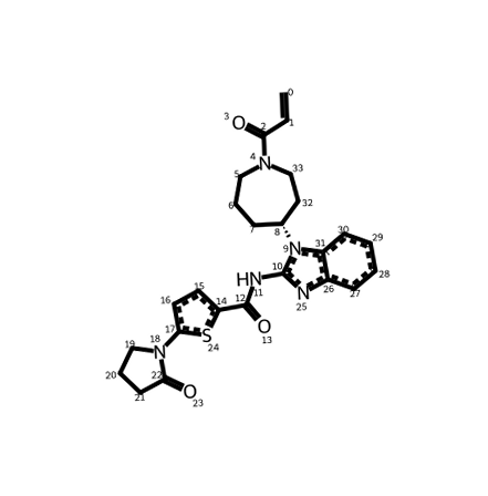 C=CC(=O)N1CCC[C@@H](n2c(NC(=O)c3ccc(N4CCCC4=O)s3)nc3ccccc32)CC1